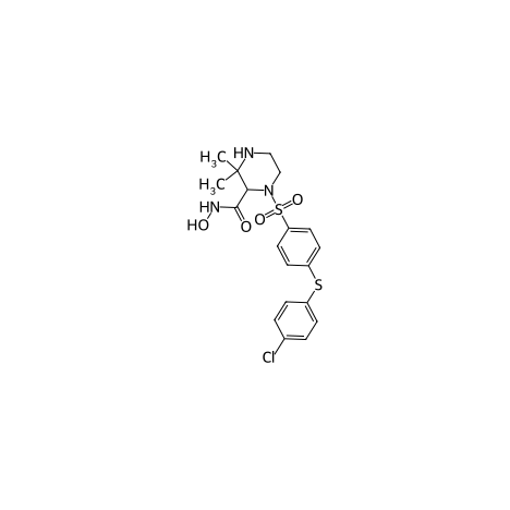 CC1(C)NCCN(S(=O)(=O)c2ccc(Sc3ccc(Cl)cc3)cc2)C1C(=O)NO